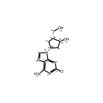 Nc1nc(Cl)nc2c1ncn2[C@@H]1C[C@H](CO)[C@@H](O)C1